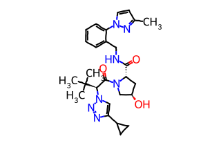 Cc1ccn(-c2ccccc2CNC(=O)[C@@H]2C[C@@H](O)CN2C(=O)[C@@H](n2cc(C3CC3)nn2)C(C)(C)C)n1